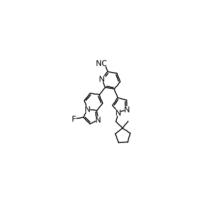 CC1(Cn2cc(-c3ccc(C#N)nc3-c3ccn4c(F)cnc4c3)cn2)CCCC1